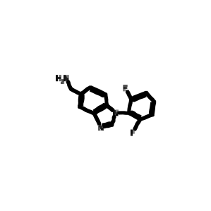 NCc1ccc2c(c1)ncn2-c1c(F)cccc1F